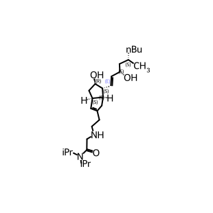 CCCC[C@H](C)C[C@H](O)/C=C/[C@@H]1[C@H]2CC(CCNCC(=O)N(C(C)C)C(C)C)=C[C@H]2C[C@H]1O